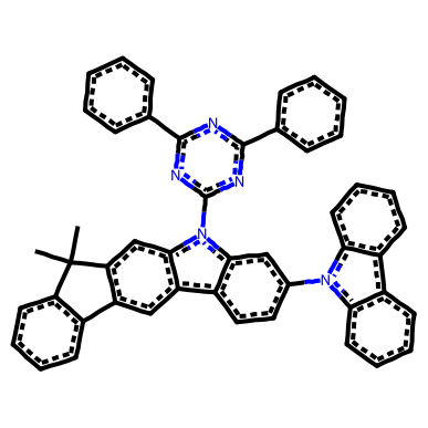 CC1(C)c2ccccc2-c2cc3c4ccc(-n5c6ccccc6c6ccccc65)cc4n(-c4nc(-c5ccccc5)nc(-c5ccccc5)n4)c3cc21